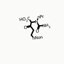 CCCCCCCCCCCC(=O)C(C(=O)O)N(CCC)C(N)=O